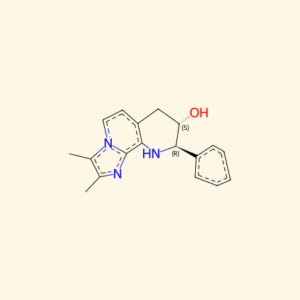 Cc1nc2c3c(ccn2c1C)C[C@H](O)[C@@H](c1ccccc1)N3